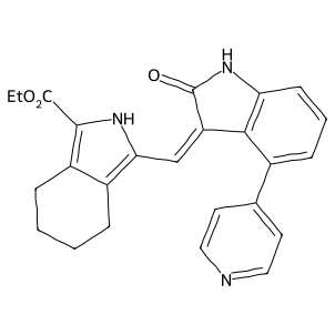 CCOC(=O)c1[nH]c(C=C2C(=O)Nc3cccc(-c4ccncc4)c32)c2c1CCCC2